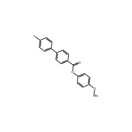 CCCCOc1ccc(OC(=O)c2ccc(-c3ccc(F)cc3)cc2)cc1